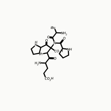 CCC(C)C(N)C(=O)N(C(=O)C1CCCN1)C(C(=O)O)(C(=O)C1CCCN1)C(C(=O)C(N)CCC(=O)O)C(C)C